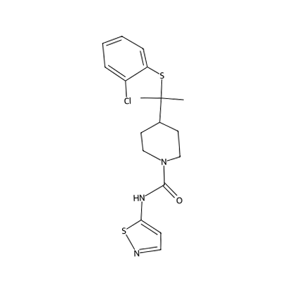 CC(C)(Sc1ccccc1Cl)C1CCN(C(=O)Nc2ccns2)CC1